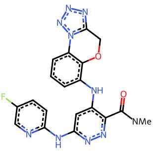 CNC(=O)c1nnc(Nc2ccc(F)cn2)cc1Nc1cccc2c1OCc1nnnn1-2